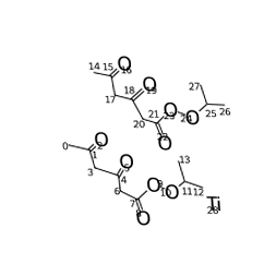 CC(=O)CC(=O)CC(=O)OOC(C)C.CC(=O)CC(=O)CC(=O)OOC(C)C.[Ti]